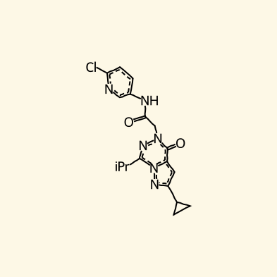 CC(C)c1nn(CC(=O)Nc2ccc(Cl)nc2)c(=O)c2cc(C3CC3)nn12